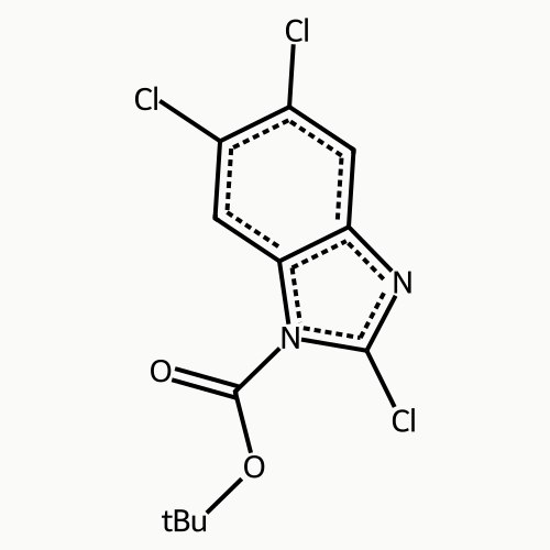 CC(C)(C)OC(=O)n1c(Cl)nc2cc(Cl)c(Cl)cc21